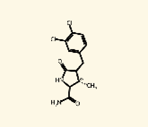 C[C@H]1C(Cc2ccc(Cl)c(Cl)c2)C(=O)NC1C(N)=O